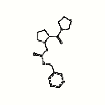 O=C(OCc1ccccc1)SN1CCCC1C(=O)N1CCSC1